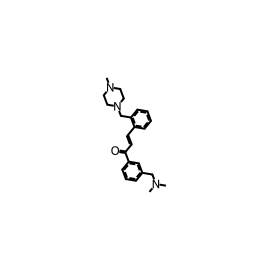 CN(C)Cc1cccc(C(=O)C=Cc2ccccc2CN2CCN(C)CC2)c1